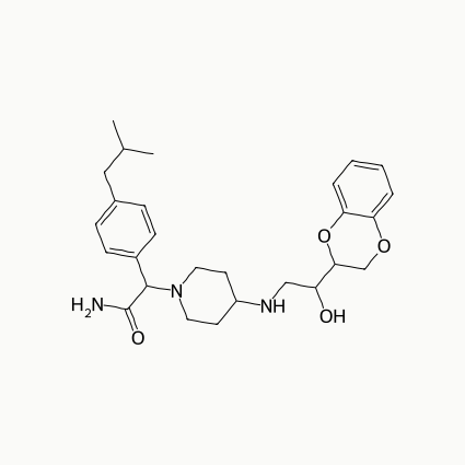 CC(C)Cc1ccc(C(C(N)=O)N2CCC(NCC(O)C3COc4ccccc4O3)CC2)cc1